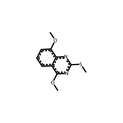 COc1nc(SC)nc2c(OC)cccc12